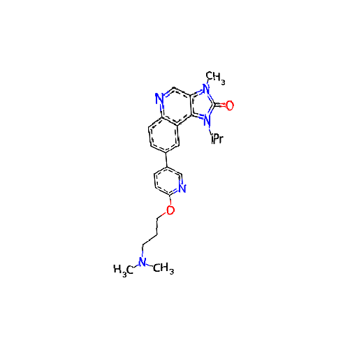 CC(C)n1c(=O)n(C)c2cnc3ccc(-c4ccc(OCCCN(C)C)nc4)cc3c21